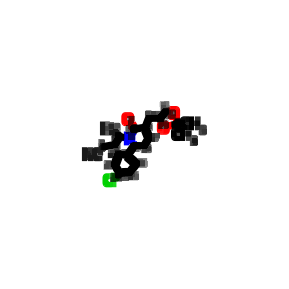 CCC(CCC#N)N1C(=O)C(CC2COC(C)(C)O2)=CCC1c1ccc(Cl)cc1